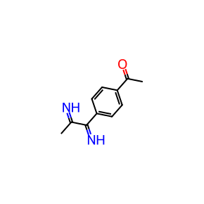 CC(=N)C(=N)c1ccc(C(C)=O)cc1